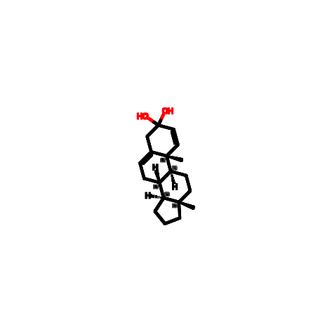 C[C@@]12CCC[C@H]1[C@@H]1CC=C3CC(O)(O)C=C[C@]3(C)[C@H]1CC2